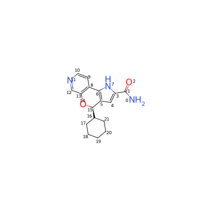 NC(=O)c1cc2c([nH]1)-c1ccncc1O[C@@H]2C1CCCCC1